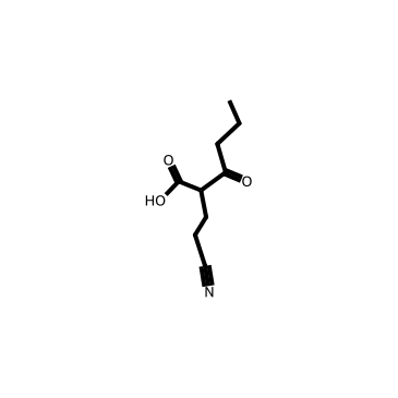 CCCC(=O)C(CCC#N)C(=O)O